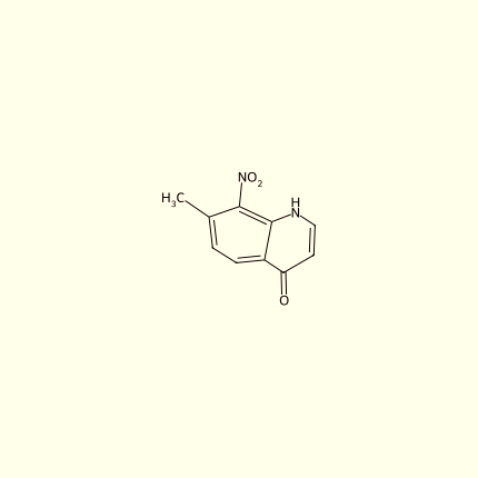 Cc1ccc2c(=O)cc[nH]c2c1[N+](=O)[O-]